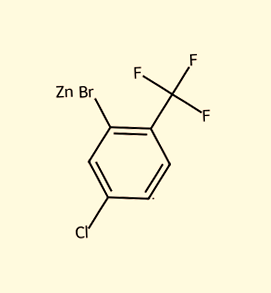 FC(F)(F)c1c[c]c(Cl)cc1Br.[Zn]